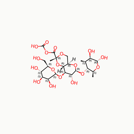 C[C@H]1[C@@H](O)[C@H](O)O[C@@H](C)[C@@H]1O[C@@H]1O[C@@H]2CO[C@@](C)(C(=O)OC(=O)O)O[C@H]2[C@H](O[C@@H]2O[C@H](CO)[C@@H](O)[C@H](O)[C@@H]2O)[C@H]1O